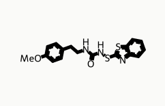 COc1ccc(CCNC(=O)NSc2nc3ccccc3s2)cc1